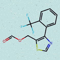 O=[C]OCc1scnc1-c1ccccc1C(F)(F)F